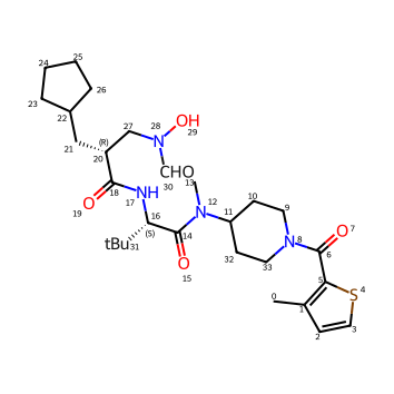 Cc1ccsc1C(=O)N1CCC(N(C)C(=O)[C@@H](NC(=O)[C@H](CC2CCCC2)CN(O)C=O)C(C)(C)C)CC1